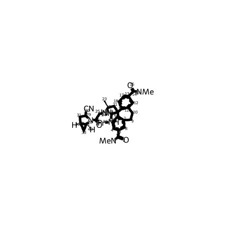 CNC(=O)c1ccc2c(c1)CCc1cc(C(=O)NC)ccc1C2(C[C@H](C)NCC(=O)N1C(C#N)C[C@@H]2C[C@@H]21)C(=N)NC(C)C